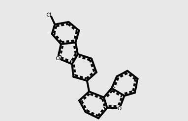 Clc1ccc2c(c1)oc1cc(-c3cccc4oc5ccccc5c34)ccc12